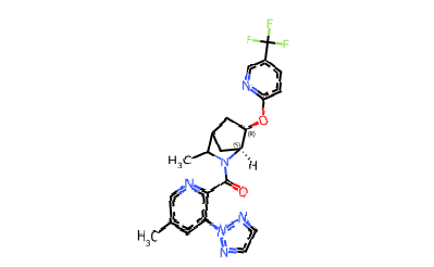 Cc1cnc(C(=O)N2C(C)C3C[C@@H](Oc4ccc(C(F)(F)F)cn4)[C@@H]2C3)c(-n2nccn2)c1